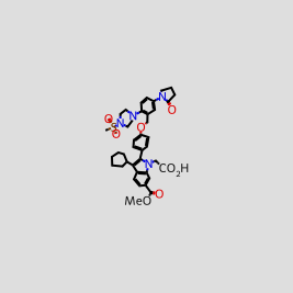 COC(=O)c1ccc2c(C3CCCCC3)c(-c3ccc(OCc4cc(N5CCCC5=O)ccc4N4CCN(S(C)(=O)=O)CC4)cc3)n(CC(=O)O)c2c1